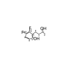 CC(O)CCc1c(O)ccc(F)c1F